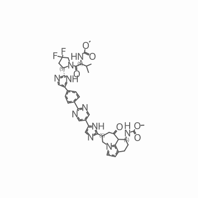 COC(=O)N[C@H]1CCc2ccn3c2C1C(=O)C[C@H](c1ncc(-c2cnc(-c4ccc(-c5cnc([C@@H]6CC(F)(F)CN6C(=O)[C@@H](NC(=O)OC)C(C)C)[nH]5)cc4)nc2)[nH]1)C3